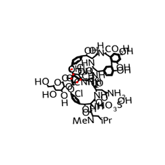 CNC(CC(C)C)C(=O)NC1C(=O)NC(CC(N)=O)C(=O)NC2C(=O)NC3C(=O)NC(C(=O)NC(C(=O)O)c4cc(O)cc(O)c4-c4cc3ccc4O)C(O)c3ccc(c(Cl)c3)Oc3cc2cc(c3OC2OC(CO)C(O)C(O)C2OC2CC(C)(N)C(O)C(C)O2)Oc2ccc(cc2Cl)C1O.O=S(=O)(O)O